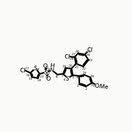 COc1ccc(-c2sc(CNS(=O)(=O)c3ccc(Cl)s3)cc2-c2ccc(Cl)cc2Cl)cc1